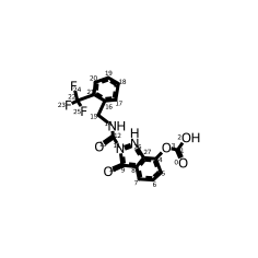 O=C(O)Oc1cccc2c(=O)n(C(=O)NCc3ccccc3C(F)(F)F)[nH]c12